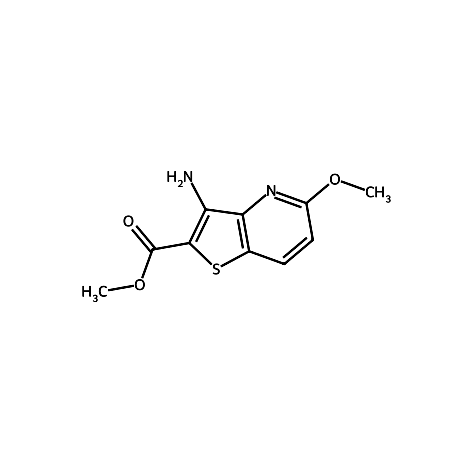 COC(=O)c1sc2ccc(OC)nc2c1N